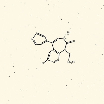 CCOC(=O)CN1C(=O)[C@H]([C@@H](C)CC)N=C(c2ccncc2)c2cc(Cl)ccc21